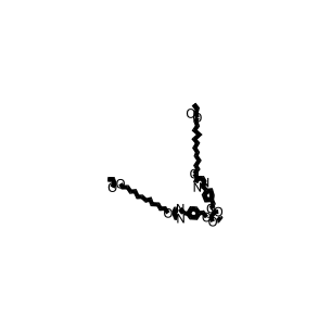 C=CC(=O)OCCCCCCCCCCCCOc1cnc(-c2ccc(CO[C@H]3OCCO[C@@H]3OCc3ccc(-c4ncc(OCCCCCCCCCCCCOC(=O)C=C)cn4)cc3)cc2)nc1